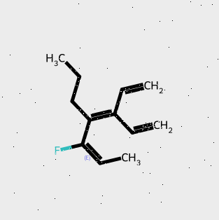 C=CC(C=C)=C(CCC)/C(F)=C\C